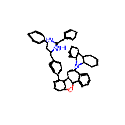 C1=CC(C2CC(C3C=CC(C4=CCCC5OC6c7ccccc7C(N7C8=C(CCC=C8)C8CCCCC87)CC6C45)=CC3)NC(C3=CCCC=C3)N2)=CCC1